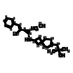 CC/C(=C\c1ccccc1)[C@H]1C[C@@H]1NC1CC2(CCN(CC(C)(C)O)CC2)C1.Cl.Cl